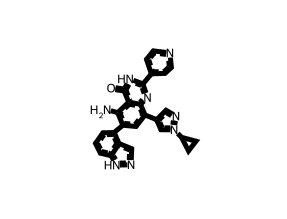 Nc1c(-c2cccc3[nH]ncc23)cc(-c2cnn(C3CC3)c2)c2nc(-c3ccncc3)[nH]c(=O)c12